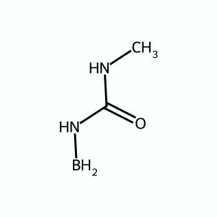 BNC(=O)NC